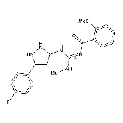 COc1ccccc1C(=O)/N=C(\NC1CC(c2ccc(F)cc2)NN1)NC(C)(C)C